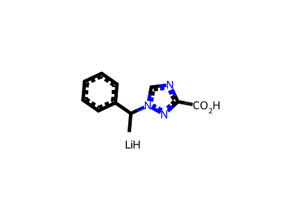 CC(c1ccccc1)n1cnc(C(=O)O)n1.[LiH]